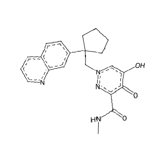 CNC(=O)c1nn(CC2(c3ccc4cccnc4c3)CCCC2)cc(O)c1=O